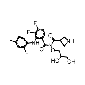 O=C(c1ccc(F)c(F)c1Nc1ccc(I)cc1F)N(OCC(O)CO)C(=O)C1CNC1